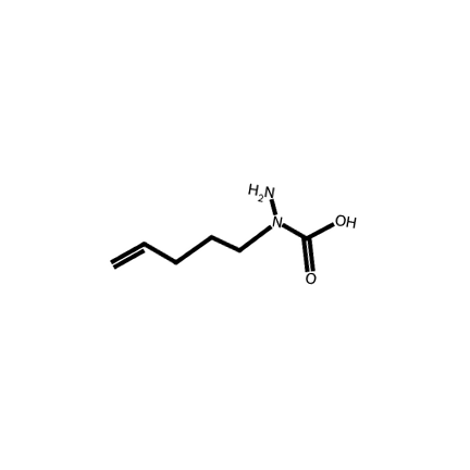 C=CCCCN(N)C(=O)O